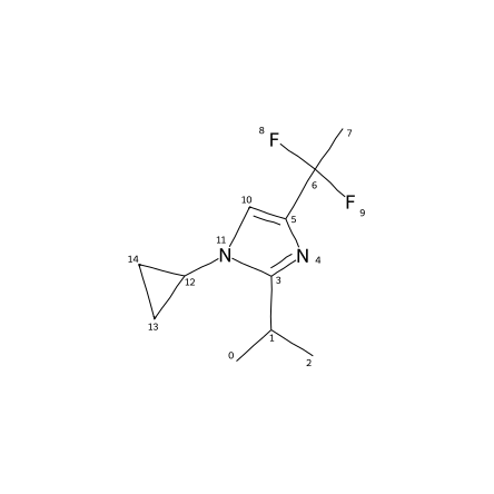 CC(C)c1nc(C(C)(F)F)cn1C1CC1